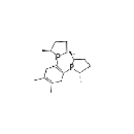 CC1=C(C)CC(P2[C@@H](C)CC[C@@H]2C)=C(P2[C@@H](C)CC[C@@H]2C)C1